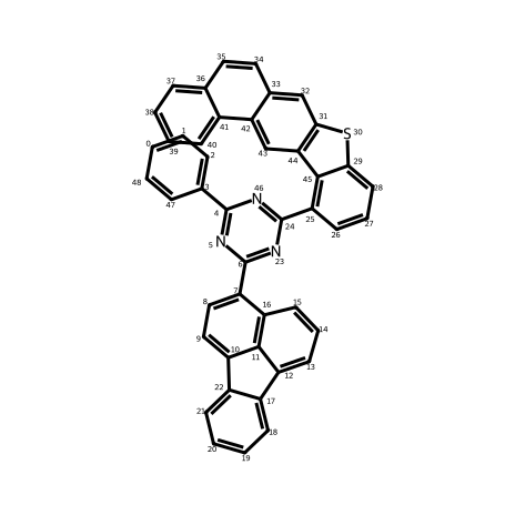 c1ccc(-c2nc(-c3ccc4c5c(cccc35)-c3ccccc3-4)nc(-c3cccc4sc5cc6ccc7ccccc7c6cc5c34)n2)cc1